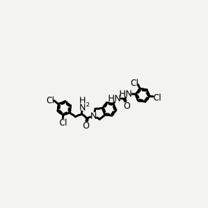 NC(Cc1ccc(Cl)cc1Cl)C(=O)N1Cc2ccc(NC(=O)Nc3ccc(Cl)cc3Cl)cc2C1